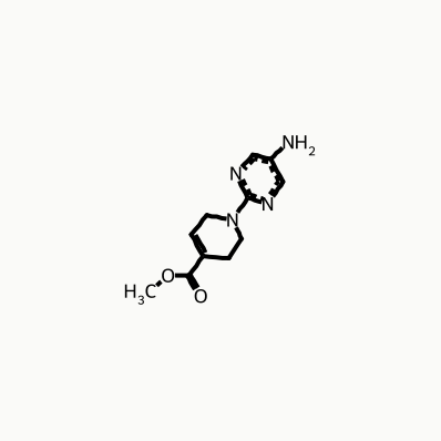 COC(=O)C1=CCN(c2ncc(N)cn2)CC1